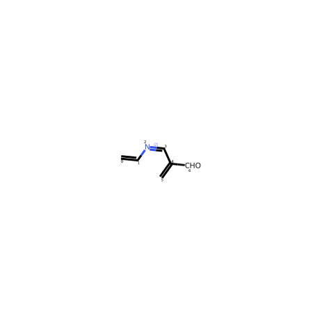 C=C/N=C\C(=C)C=O